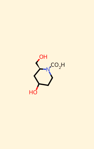 O=C(O)N1CCC(O)C[C@H]1CO